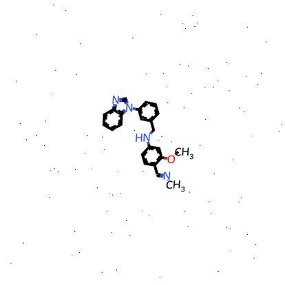 C/N=C/c1ccc(NCc2cccc(-n3cnc4ccccc43)c2)cc1OC